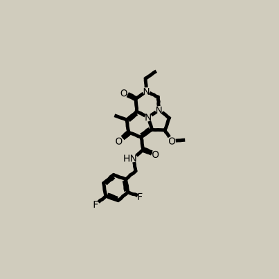 CCN1CN2CC(OC)c3c(C(=O)NCc4ccc(F)cc4F)c(=O)c(C)c(n32)C1=O